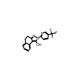 Oc1c2c(nn1-c1ccc(C(F)(F)F)cn1)CCc1ccccc1-2